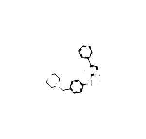 c1ccc(-c2cnc(Nc3ccc(CN4CCOCC4)cc3)o2)cc1